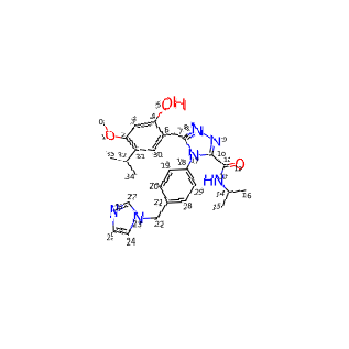 COc1cc(O)c(-c2nnc(C(=O)NC(C)C)n2-c2ccc(Cn3ccnc3)cc2)cc1C(C)C